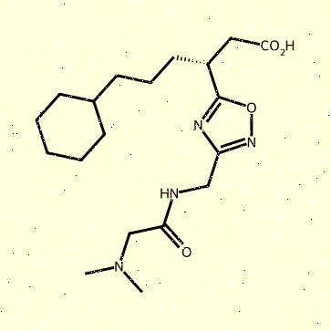 CN(C)CC(=O)NCc1noc([C@H](CCCC2CCCCC2)CC(=O)O)n1